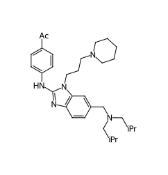 CC(=O)c1ccc(Nc2nc3ccc(CN(CC(C)C)CC(C)C)cc3n2CCCN2CCCCC2)cc1